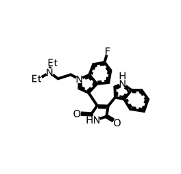 CCN(CC)CCn1cc(C2=C(c3c[nH]c4ccccc34)C(=O)NC2=O)c2ccc(F)cc21